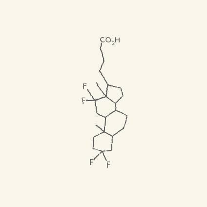 CC12CCC(F)(F)CC1CCC1C2CC(F)(F)C2(C)C(CCCC(=O)O)CCC12